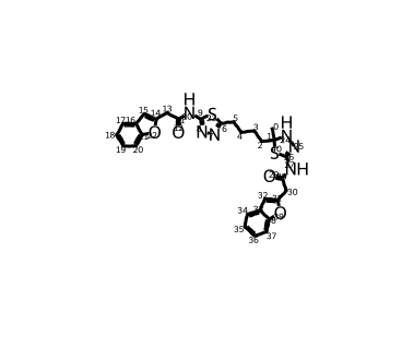 CC1(CCCCc2nnc(NC(=O)Cc3cc4ccccc4o3)s2)NN=C(NC(=O)Cc2cc3ccccc3o2)S1